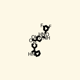 N=C(NC(=O)c1cc(F)cc(F)c1)N1CCC(C(C(=O)O)N2CCC(c3c[nH]c4ccccc34)CC2)CC1